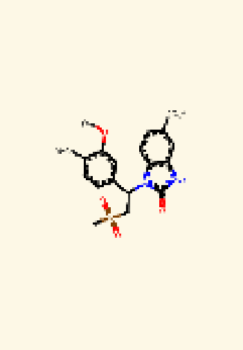 CCOc1cc([C@H](CS(C)(=O)=O)n2c(=O)[nH]c3cc(C(=O)O)ccc32)ccc1OC